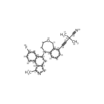 Cc1nnc2nc(N3CCOCc4c(C#CC(C)(C)C#N)cccc43)c3cc(F)cnc3n12